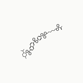 C=C(C)C(=O)OCCCCCCOC(=O)Oc1ccc(OC(=O)c2ccc3cc(C(=O)OC4CC(C)CCC4C(C)C)ccc3c2)cc1